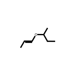 CC=COC(C)CC